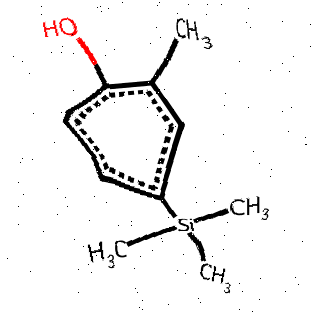 Cc1cc([Si](C)(C)C)ccc1O